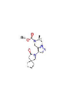 C[C@H]1Cn2ncc(N3CC4(CCCC4)CC3=O)c2CN1C(=O)OC(C)(C)C